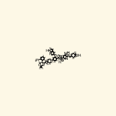 CC(C)c1ccccc1[C@@H]1COC2(CC2)CN1C1CC2(CCN(c3ccc(C(=O)NS(=O)(=O)c4cnc(NCC5CCC(C)(O)CC5)c([N+](=O)[O-])c4)c(Oc4cnc5[nH]ccc5c4)c3)CC2)C1